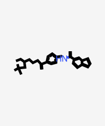 C=C(NCc1ccc(C(=C)CCCC(CC)CC(C)(C)C)cc1)C1=CC2C=CC=C2C=C1